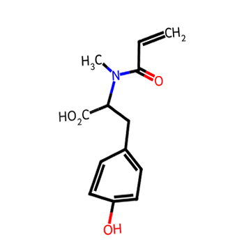 C=CC(=O)N(C)C(Cc1ccc(O)cc1)C(=O)O